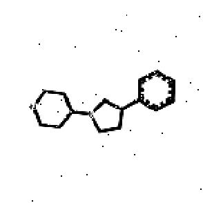 c1ccc(C2CCN(C3CC[N]CC3)C2)cc1